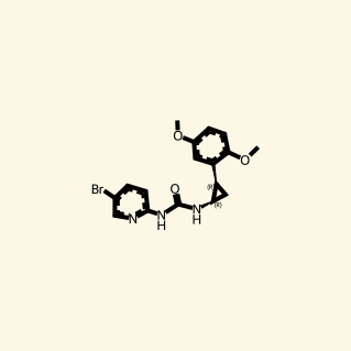 COc1ccc(OC)c([C@H]2C[C@H]2NC(=O)Nc2ccc(Br)cn2)c1